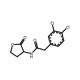 O=C(Cc1ccc(Cl)c(Cl)c1)NC1CCOC1=O